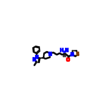 Cc1cc(C2CCN(CCCC[C@H](N)C(=O)N3CCSC3)CC2)n(-c2ccccc2)n1